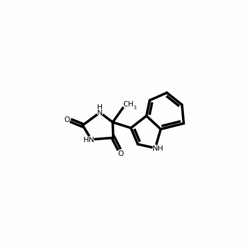 CC1(c2c[nH]c3ccccc23)NC(=O)NC1=O